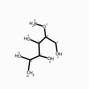 BOC(CO)C(O)C(O)C(C)O